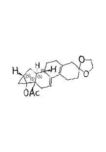 CC(=O)OC12C[C@@H]1C[C@H]1[C@@H]3CCC4=C(CCC5(C4)OCCO5)C3=CC[C@@]12C